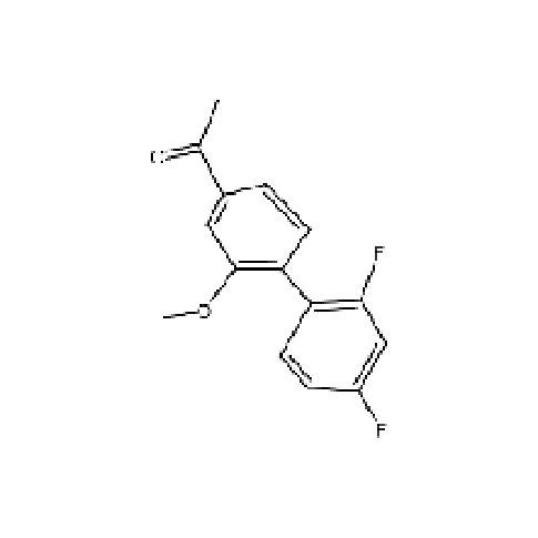 COc1cc(C(C)=O)ccc1-c1ccc(F)cc1F